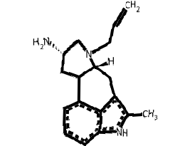 C=CCN1C[C@@H](N)CC2c3cccc4[nH]c(C)c(c34)C[C@H]21